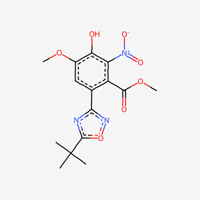 COC(=O)c1c(-c2noc(C(C)(C)C)n2)cc(OC)c(O)c1[N+](=O)[O-]